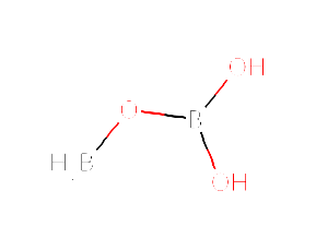 BOB(O)O